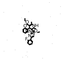 CCOC(=O)C1=C(C)NC(C)C(Nc2nc(-c3ccccc3F)cs2)(C(=O)OCC)C1c1ccccc1